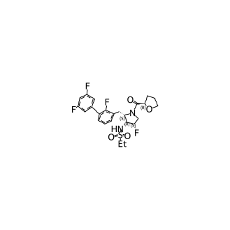 CCS(=O)(=O)N[C@H]1[C@@H](F)CN(C(=O)[C@H]2CCCO2)[C@H]1Cc1cccc(-c2cc(F)cc(F)c2)c1F